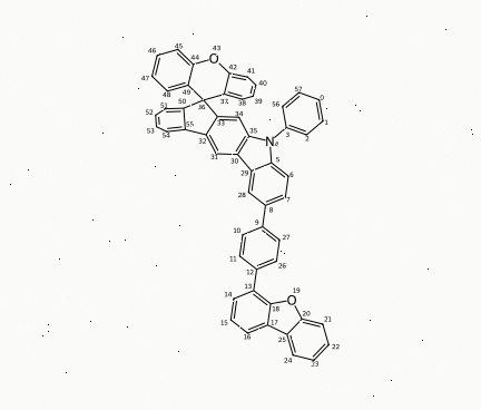 c1ccc(-n2c3ccc(-c4ccc(-c5cccc6c5oc5ccccc56)cc4)cc3c3cc4c(cc32)C2(c3ccccc3Oc3ccccc32)c2ccccc2-4)cc1